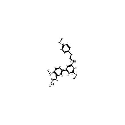 COc1ccc(CCNc2cc(-c3ccc(OC)c(/C=N/O)c3)nc(OC)n2)cc1